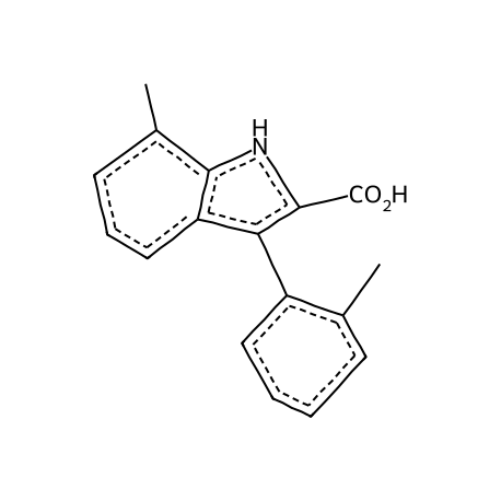 Cc1ccccc1-c1c(C(=O)O)[nH]c2c(C)cccc12